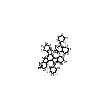 c1ccc(-c2nc(-n3c4ccccc4c4c5sc6ncccc6c5c5c(c6ccccc6n5-c5ccccc5)c43)nc3ccccc23)cc1